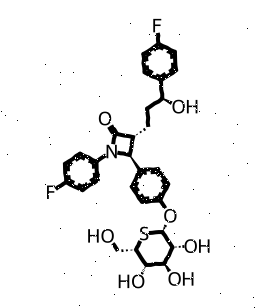 O=C1[C@H](CC[C@H](O)c2ccc(F)cc2)[C@@H](c2ccc(O[C@H]3S[C@@H](CO)[C@@H](O)[C@H](O)[C@H]3O)cc2)N1c1ccc(F)cc1